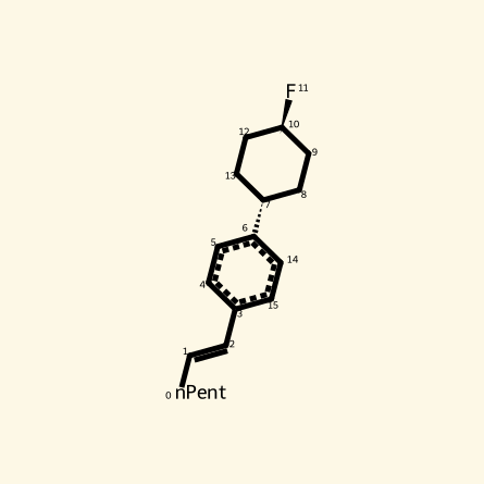 CCCCCC=Cc1ccc([C@H]2CC[C@H](F)CC2)cc1